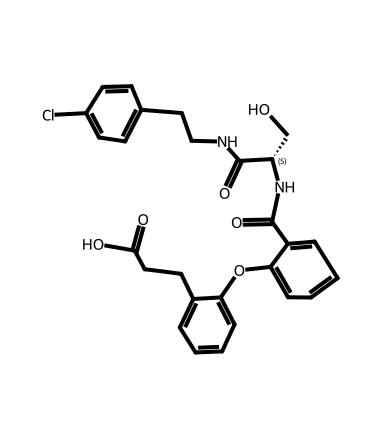 O=C(O)CCc1ccccc1Oc1ccccc1C(=O)N[C@@H](CO)C(=O)NCCc1ccc(Cl)cc1